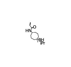 C=CC(=O)NC1CCCC(C)(BC(C)C)CCC1